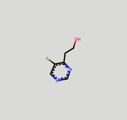 OCCc1ncncc1F